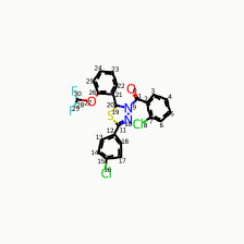 O=C(c1ccccc1Cl)N1N=C(c2ccc(Cl)cc2)SC1c1ccccc1OC(F)F